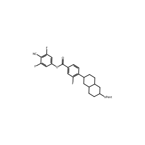 CCCCCC1CCC2CC(c3ccc(C(=O)Oc4cc(F)c(C#N)c(F)c4)cc3F)CCC2C1